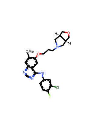 COc1cc2ncnc(Nc3ccc(F)c(Cl)c3)c2cc1OCCCN1C[C@H]2COC[C@H]2C1